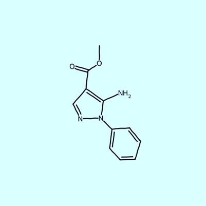 COC(=O)c1cnn(-c2ccccc2)c1N